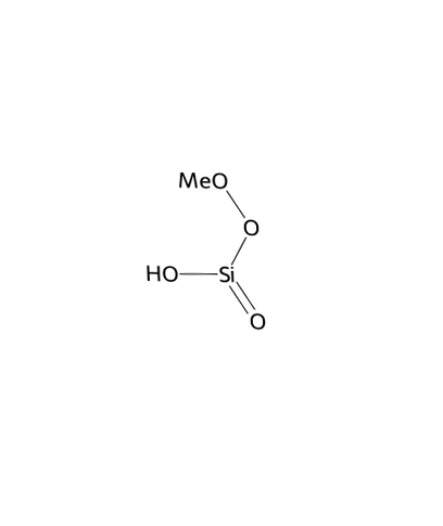 COO[Si](=O)O